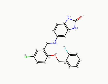 O=c1[nH]c2ccc(NCc3cc(Cl)ccc3OCc3ccccc3F)cc2[nH]1